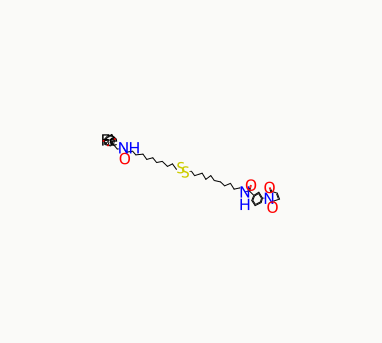 O=C(CCCCCCCCCCSSCCCCCCCCCCCNC(=O)c1cccc(N2C(=O)C=CC2=O)c1)NC[C]12[CH]3[CH]4[CH]5[CH]1[Fe]45321678[CH]2[CH]1[CH]6[CH]7[CH]28